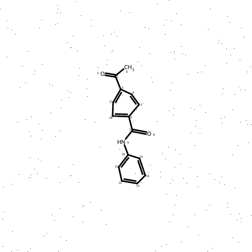 CC(=O)c1ccc(C(=O)Nc2ccccc2)cc1